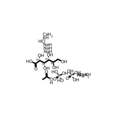 CC(=O)O.Cl.Cl.O=C(O)[C@H](O)[C@@H](O)[C@H](O)[C@H](O)CO.O=P(O)(O)O.O=P(O)(O)O.[CaH2].[KH].[KH].[MgH2].[NaH].[NaH].[NaH]